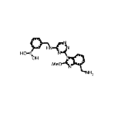 COc1nc2c(CN)cccc2n1-c1nncc(NCc2cccc(B(O)O)c2)n1